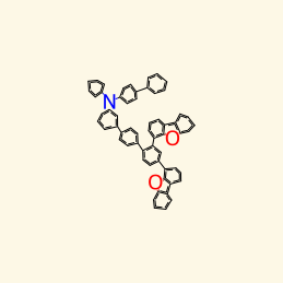 c1ccc(-c2ccc(N(c3ccccc3)c3cccc(-c4ccc(-c5ccc(-c6cccc7c6oc6ccccc67)cc5-c5cccc6c5oc5ccccc56)cc4)c3)cc2)cc1